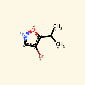 CC(C)c1oncc1Br